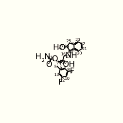 NC(=O)O[C@@H](Cc1cc(F)cc(F)c1)[C@H](O)CN[C@H]1c2ccccc2C[C@H]1O